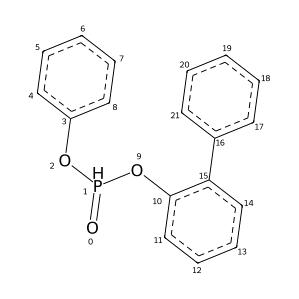 O=[PH](Oc1ccccc1)Oc1ccccc1-c1ccccc1